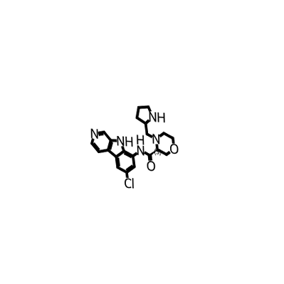 O=C(Nc1cc(Cl)cc2c1[nH]c1cnccc12)[C@@H]1COCCN1CC1CCCN1